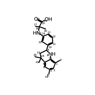 Cc1cc(F)cc2c1NC(c1cccc(NC(C)(C)C(=O)O)c1)CC2(C)C